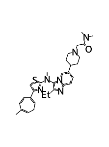 CCc1nc2ccc(C3CCN(CC(=O)N(C)C)CC3)cn2c1N(C)c1nc(C2=CCC=C(C)C=C2)cs1